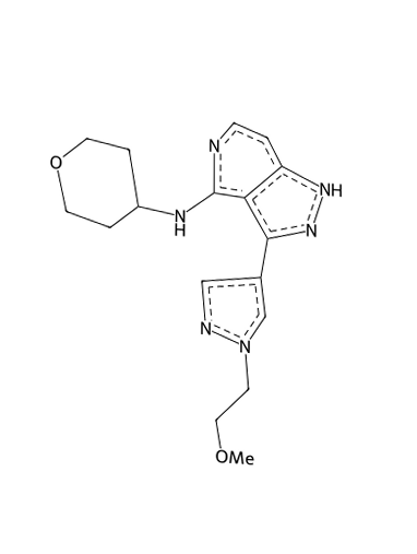 COCCn1cc(-c2n[nH]c3ccnc(NC4CCOCC4)c23)cn1